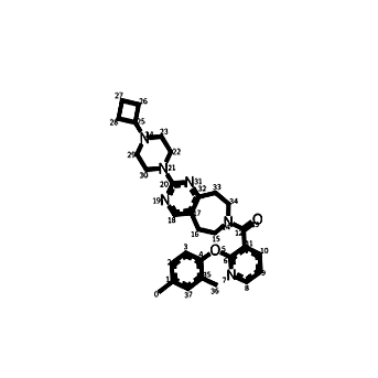 Cc1ccc(Oc2ncccc2C(=O)N2CCc3cnc(N4CCN(C5CCC5)CC4)nc3CC2)c(C)c1